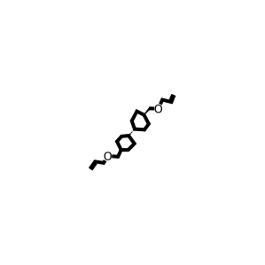 C=CCOCC1CCC([C@H]2CC[C@H](COCC=C)CC2)CC1